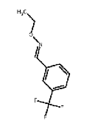 CCO/N=[C]/c1cccc(C(F)(F)F)c1